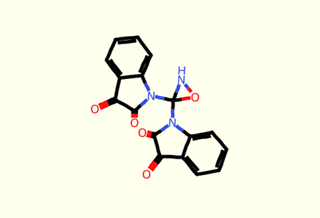 O=C1C(=O)N(C2(N3C(=O)C(=O)c4ccccc43)NO2)c2ccccc21